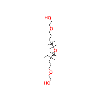 CCC(C)(CCCOCCO)[Si](C)(C)OC(C)(C)[Si](C)(C)CCCOCCO